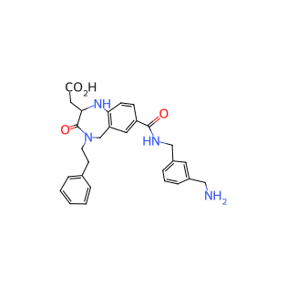 NCc1cccc(CNC(=O)c2ccc3c(c2)CN(CCc2ccccc2)C(=O)C(CC(=O)O)N3)c1